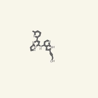 Cc1cccc(-c2cc(Nc3ccnc4[nH]c(C#CCO)cc34)n3nccc3n2)n1